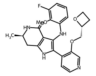 COc1c(F)cccc1Nc1c(-c2ccncc2OC[C@H]2CCO2)[nH]c2c1C(=O)N[C@H](C)C2